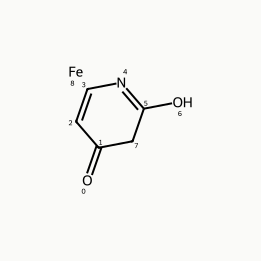 O=C1C=CN=C(O)C1.[Fe]